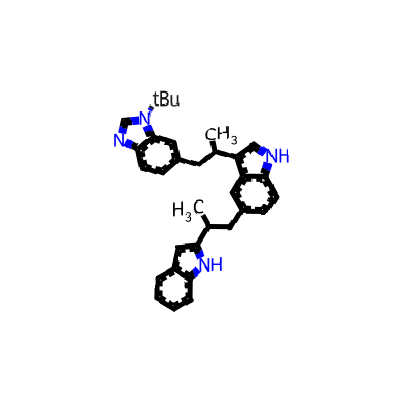 CC(Cc1ccc2[nH]cc(C(C)Cc3ccc4ncn(C(C)(C)C)c4c3)c2c1)c1cc2ccccc2[nH]1